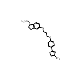 O=C(O)C[C@@H]1CCc2cc(OCCCOc3ccc(-c4nc(C(F)(F)F)co4)cc3)ccc21